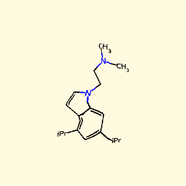 CC(C)c1cc(C(C)C)c2ccn(CCN(C)C)c2c1